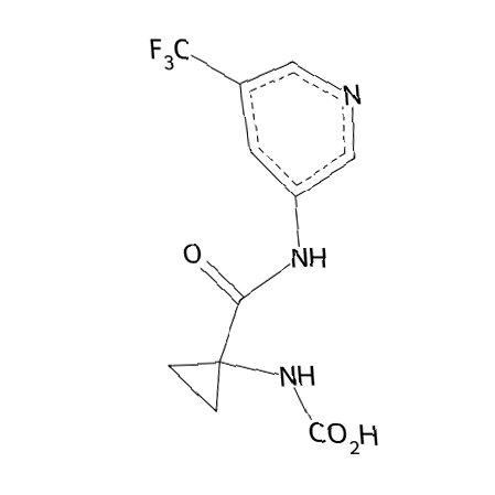 O=C(O)NC1(C(=O)Nc2cncc(C(F)(F)F)c2)CC1